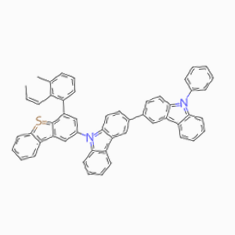 C/C=C\c1c(C)cccc1-c1cc(-n2c3ccccc3c3cc(-c4ccc5c(c4)c4ccccc4n5-c4ccccc4)ccc32)cc2c1sc1ccccc12